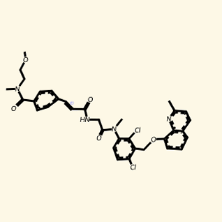 COCCN(C)C(=O)c1ccc(/C=C/C(=O)NCC(=O)N(C)c2ccc(Cl)c(COc3cccc4ccc(C)nc34)c2Cl)cc1